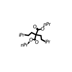 CCCOC(=O)C(CCC(C)C)(CCC(C)C)C(=O)OCCC